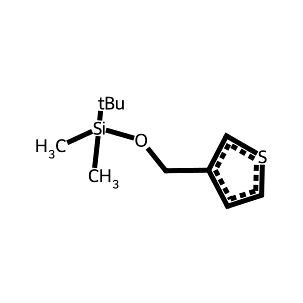 CC(C)(C)[Si](C)(C)OCc1ccsc1